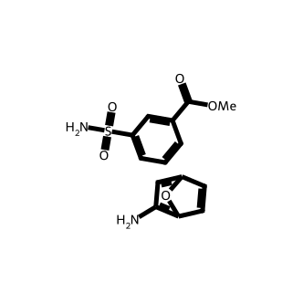 COC(=O)c1cccc(S(N)(=O)=O)c1.Nc1cc2ccc1o2